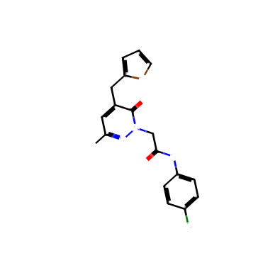 Cc1cc(Cc2cccs2)c(=O)n(CC(=O)Nc2ccc(Br)cc2)n1